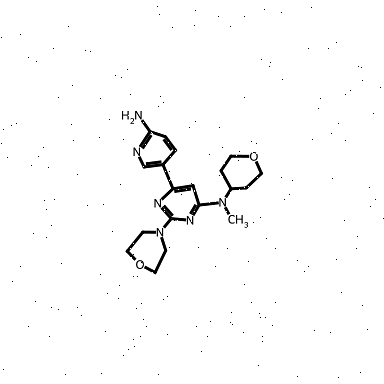 CN(c1cc(-c2ccc(N)nc2)nc(N2CCOCC2)n1)C1CCOCC1